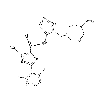 Nc1sc(-c2c(F)cccc2F)nc1C(=O)Nc1cn[nH]c1CC1CCC(N)COC1